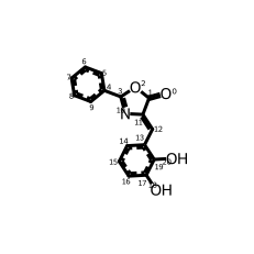 O=C1OC(c2ccccc2)=NC1=Cc1cccc(O)c1O